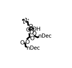 CCCCCCCCCCCC(=O)OCC(COP(=O)(O)OCC[N+](C)(C)C)OC(=O)CCCCCCCCCCC